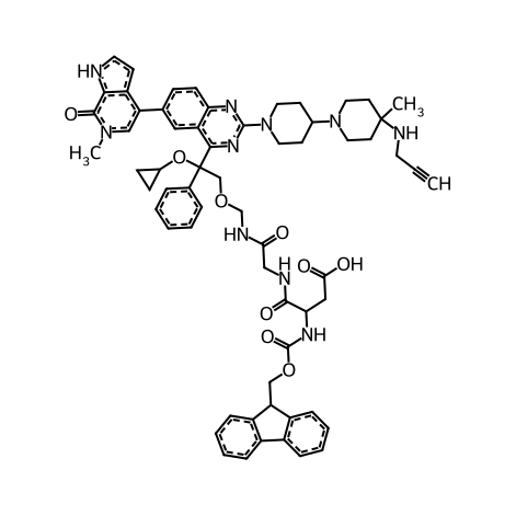 C#CCNC1(C)CCN(C2CCN(c3nc(C(COCNC(=O)CNC(=O)C(CC(=O)O)NC(=O)OCC4c5ccccc5-c5ccccc54)(OC4CC4)c4ccccc4)c4cc(-c5cn(C)c(=O)c6[nH]ccc56)ccc4n3)CC2)CC1